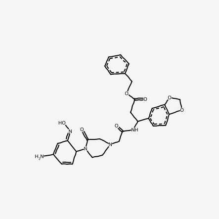 NC1=CC(=NO)C(N2CCN(CC(=O)NC(CC(=O)OCc3ccccc3)c3ccc4c(c3)OCO4)CC2=O)C=C1